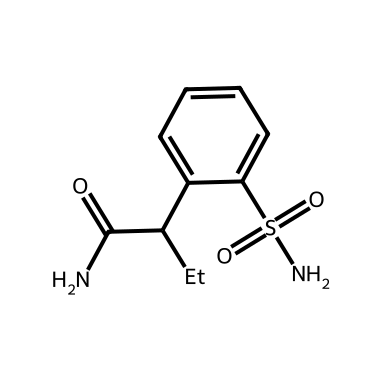 CCC(C(N)=O)c1ccccc1S(N)(=O)=O